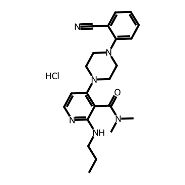 CCCNc1nccc(N2CCN(c3ccccc3C#N)CC2)c1C(=O)N(C)C.Cl